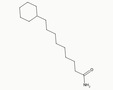 NC(=O)CCCCCCCCC1CCCCC1